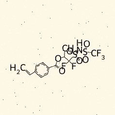 C=Cc1ccc(C(=O)OC(C)C(F)(F)S(=O)(=O)NS(=O)(=O)C(F)(F)F)cc1